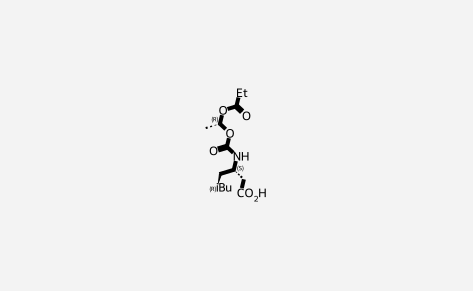 CCC(=O)O[C@@H](C)OC(=O)N[C@H](CC(=O)O)C[C@H](C)CC